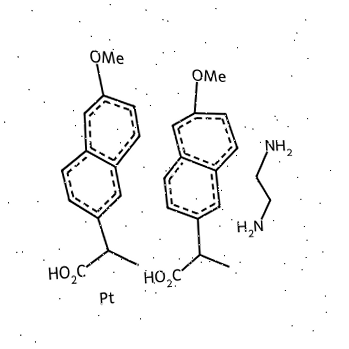 COc1ccc2cc(C(C)C(=O)O)ccc2c1.COc1ccc2cc(C(C)C(=O)O)ccc2c1.NCCN.[Pt]